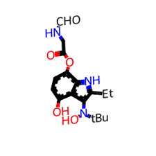 CCc1[nH]c2c(OC(=O)CNC=O)ccc(O)c2c1N(O)C(C)(C)C